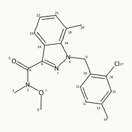 CON(C)C(=O)c1nn(Cc2ccc(C)cc2Cl)c2c(C)cccc12